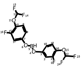 Fc1cc(OBOc2ccc(OC(F)F)c(F)c2)ccc1OC(F)F